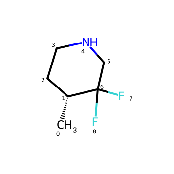 C[C@@H]1CCNCC1(F)F